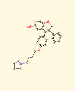 Oc1ccc2c(c1)[C@H](c1ccc(OCCCCN3CCCC3)cc1)[C@H](c1ccccc1)CO2